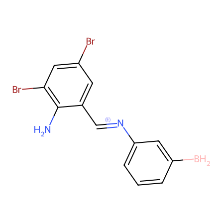 Bc1cccc(/N=C/c2cc(Br)cc(Br)c2N)c1